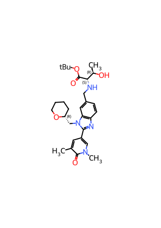 Cc1cc(-c2nc3ccc(CN[C@H](C(=O)OC(C)(C)C)[C@@H](C)O)cc3n2C[C@H]2CCCCO2)cn(C)c1=O